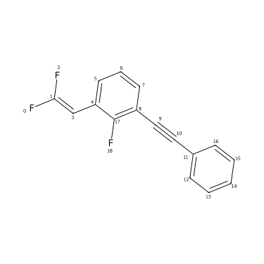 FC(F)=Cc1cccc(C#Cc2ccccc2)c1F